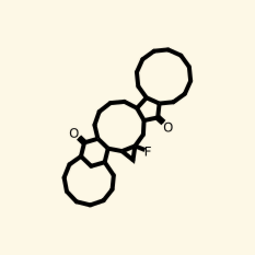 O=C1C2CCCCCCCCCCC2C2CCCCC3C(=O)C4CCCCCCCCC(C4)C3C3CC3(F)CC12